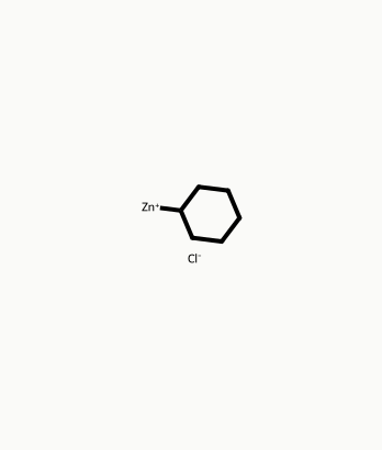 [Cl-].[Zn+][CH]1CCCCC1